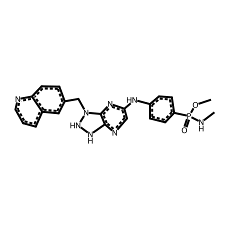 CNP(=O)(OC)c1ccc(Nc2cnc3c(n2)N(Cc2ccc4ncccc4c2)NN3)cc1